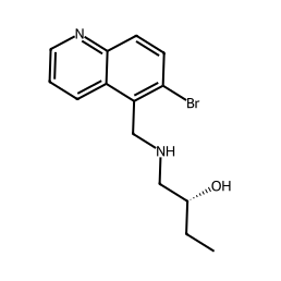 CC[C@@H](O)CNCc1c(Br)ccc2ncccc12